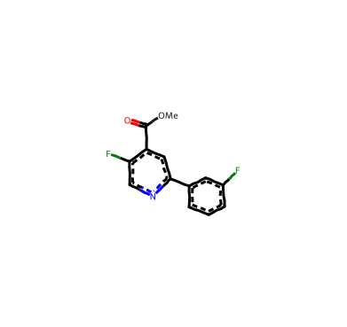 COC(=O)c1cc(-c2cccc(F)c2)ncc1F